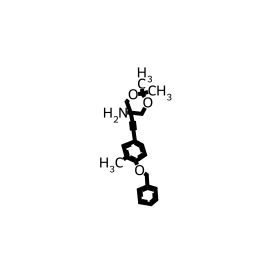 Cc1cc(C#CC2(N)COC(C)(C)OC2)ccc1OCc1ccccc1